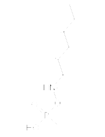 CCCCCCNOP(C)(=O)O